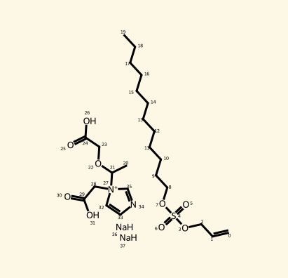 C=CCOS(=O)(=O)OCCCCCCCCCCCC.CC(OCC(=O)O)[N+]1(CC(=O)O)C=CN=C1.[NaH].[NaH]